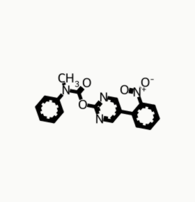 CN(C(=O)Oc1ncc(-c2ccccc2[N+](=O)[O-])cn1)c1ccccc1